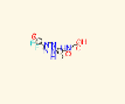 CCc1cc(Nc2nccn3c(-c4ccc(OC)c(F)c4F)cnc23)ccc1C(=O)NCCC(=O)O